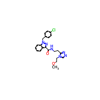 COCCn1cnnc1CCNC(=O)c1nn(Cc2ccc(Cl)cc2)c2ccccc12